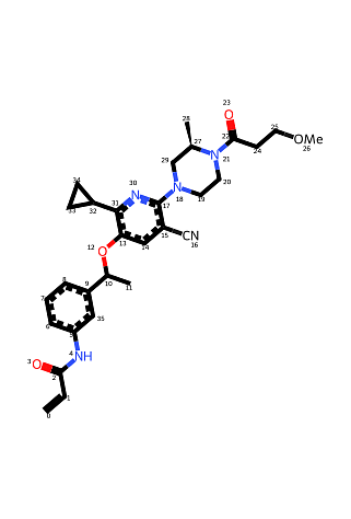 C=CC(=O)Nc1cccc(C(C)Oc2cc(C#N)c(N3CCN(C(=O)CCOC)[C@H](C)C3)nc2C2CC2)c1